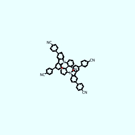 N#Cc1ccc(-c2ccc3c(c2)c2cc(-c4ccc(C#N)cc4)ccc2n3-c2cccnc2-c2c(C#N)cccc2-n2c3ccc(-c4ccc(C#N)cc4)cc3c3cc(-c4ccc(C#N)cc4)ccc32)cc1